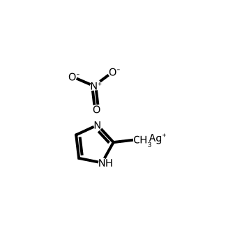 Cc1ncc[nH]1.O=[N+]([O-])[O-].[Ag+]